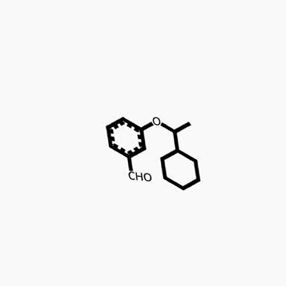 CC(Oc1cccc(C=O)c1)C1CCCCC1